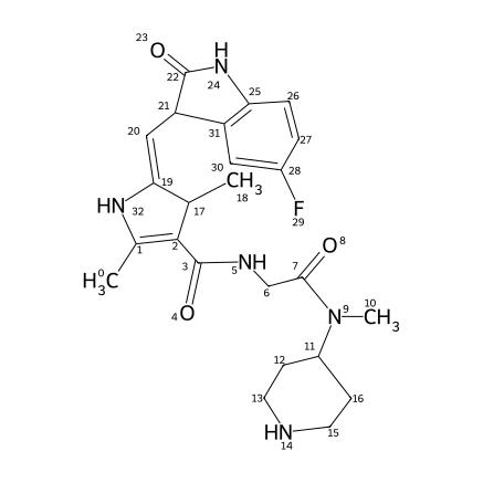 CC1=C(C(=O)NCC(=O)N(C)C2CCNCC2)C(C)C(=CC2C(=O)Nc3ccc(F)cc32)N1